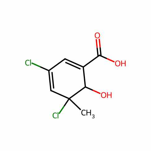 CC1(Cl)C=C(Cl)C=C(C(=O)O)C1O